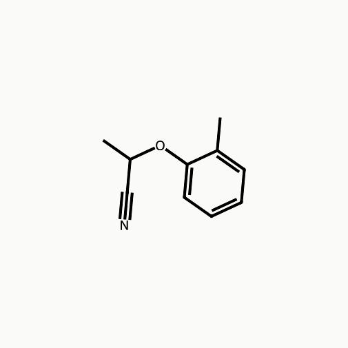 Cc1ccccc1OC(C)C#N